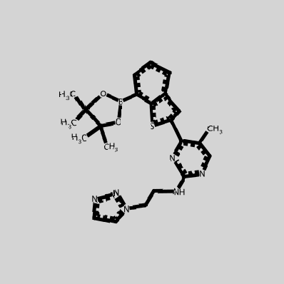 Cc1cnc(NCCn2ccnn2)nc1-c1cc2cccc(B3OC(C)(C)C(C)(C)O3)c2s1